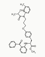 COC(=O)[C@H](Cc1ccc(OCCCN(C(=O)C(C)C)c2cccc(C)c2)cc1)Nc1ccccc1C(=O)c1ccccc1